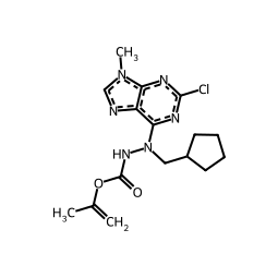 C=C(C)OC(=O)NN(CC1CCCC1)c1nc(Cl)nc2c1ncn2C